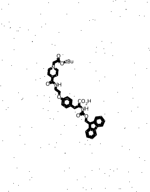 CC(C)(C)OC(=O)CN1CCC(C(=O)NCCOc2ccc(CC(NC(=O)OCC3c4ccccc4-c4ccccc43)C(=O)O)cc2)CC1